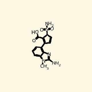 Cn1c(N)nc2c(C3=C(C(=O)O)C(S(N)(=O)=O)C=C3)cccc21